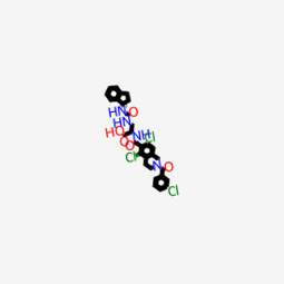 O=C(NCC(NC(=O)c1c(Cl)cc2c(c1Cl)CCN(C(=O)c1cccc(Cl)c1)C2)C(=O)O)N[C@@H]1CCc2ccccc21